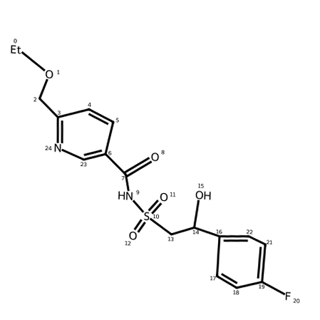 CCOCc1ccc(C(=O)NS(=O)(=O)CC(O)c2ccc(F)cc2)cn1